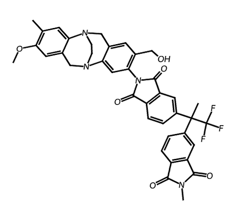 COc1cc2c(cc1C)N1CCN(C2)c2cc(N3C(=O)c4ccc(C(C)(c5ccc6c(c5)C(=O)N(C)C6=O)C(F)(F)F)cc4C3=O)c(CO)cc2C1